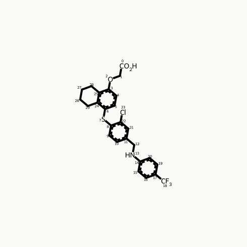 O=C(O)COc1ccc(Sc2ccc(CNc3ccc(C(F)(F)F)cc3)cc2Cl)c2c1CCCC2